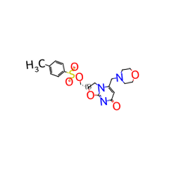 Cc1ccc(S(=O)(=O)OC[C@@H]2Cn3c(CN4CCOCC4)cc(=O)nc3O2)cc1